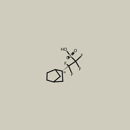 O=S(=O)(O)C(F)(F)C(F)(F)[C@@H]1CC2CCC1C2